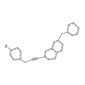 Fc1ccc(CC#Cc2ccc3ccc(Cc4ccccc4)cc3c2)cc1